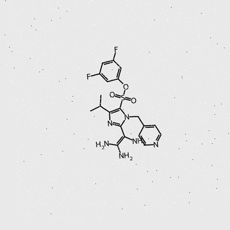 CC(C)c1nc(C(N)=C(N)N)n(Cc2ccncc2)c1S(=O)(=O)Oc1cc(F)cc(F)c1